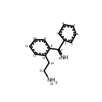 N=C(c1ccccc1)c1ccccc1CCN